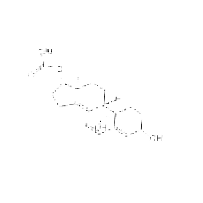 CC(C)(C)C(=O)O[C@H]1CCC2=C3C=CC4=C[C@@H](O)CC[C@]4(CO)[C@H]3CC[C@@]21C